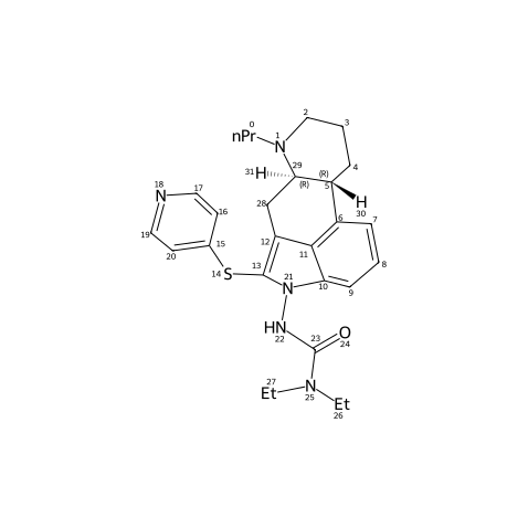 CCCN1CCC[C@@H]2c3cccc4c3c(c(Sc3ccncc3)n4NC(=O)N(CC)CC)C[C@H]21